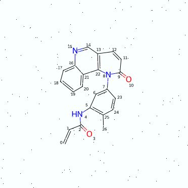 C=CC(=O)Nc1cc(-n2c(=O)ccc3cnc4ccccc4c32)ccc1C